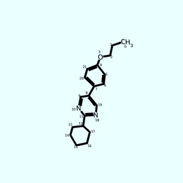 CCCOc1ccc(-c2cnc(C3CCCCC3)nc2)cc1